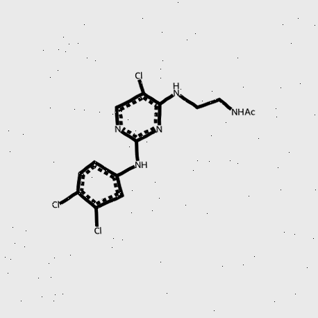 CC(=O)NCCNc1nc(Nc2ccc(Cl)c(Cl)c2)ncc1Cl